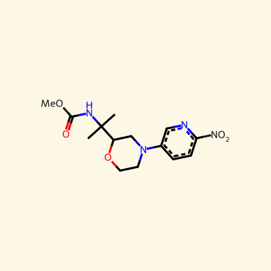 COC(=O)NC(C)(C)C1CN(c2ccc([N+](=O)[O-])nc2)CCO1